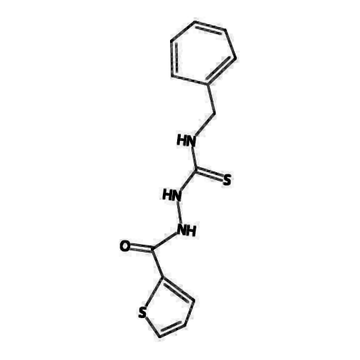 O=C(NNC(=S)NCc1ccccc1)c1cccs1